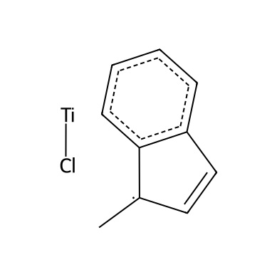 C[C]1C=Cc2ccccc21.[Cl][Ti]